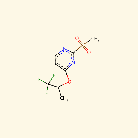 CC(Oc1ccnc(S(C)(=O)=O)n1)C(F)(F)F